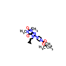 Cn1c(=O)c2c(nc(N3CCN(C(=O)OC(C)(C)C)CC3)n2CC=C2CC2)n(C)c1=O